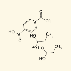 CCC(O)O.CCC(O)O.O=C(O)c1ccc(C(=O)O)cc1